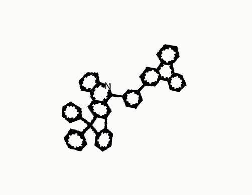 c1ccc(C2(c3ccccc3)c3ccccc3-c3cc4c(-c5cccc(-c6ccc7c8ccccc8c8ccccc8c7c6)c5)nc5ccccc5c4cc32)cc1